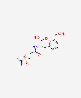 CNS(=O)(=O)CCC(=O)N[C@H]1Cc2cccc(CO)c2OB1O